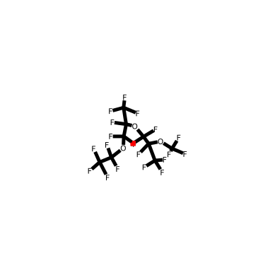 FC(F)(F)OC(F)(C(F)(F)F)C(F)(F)OC(F)(C(F)(F)F)C(F)(F)OC(F)(F)C(F)(F)F